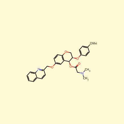 COc1ccc(O[C@@H]2COc3ccc(OCc4ccc5ccccc5n4)cc3[C@@H]2OC(=O)CN(C)C)cc1